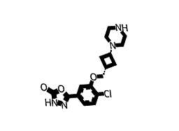 O=c1[nH]nc(-c2ccc(Cl)c(OC[C@H]3C[C@@H](N4CCNCC4)C3)c2)o1